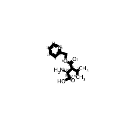 CC(C)C(C(=O)OCc1ccccn1)[C@H](N)C(=O)O